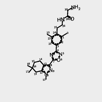 Cc1cc(-c2noc(-c3nn(C)c4c3CCC(C)(C)C4)n2)cc(C)c1CCNC(=O)CN